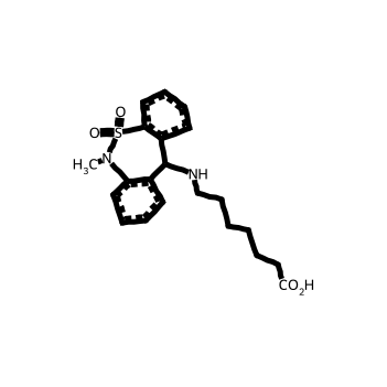 CN1c2ccccc2C(NCCCCCCC(=O)O)c2ccccc2S1(=O)=O